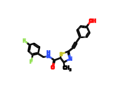 CC1N=C(C#Cc2ccc(O)cc2)SC1C(=O)NCc1ccc(F)cc1F